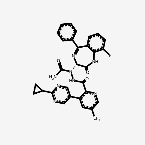 NC(=O)N(NC(=O)c1ncc(C(F)(F)F)cc1-c1cnc(C2CC2)nc1)[C@@H]1N=C(c2ccccc2)c2cccc(F)c2NC1=O